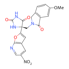 COc1ccc2c(c1)C(=O)N(C[C@@]1(c3cc4cc([N+](=O)[O-])cnc4o3)NC(=O)NC1=O)C2